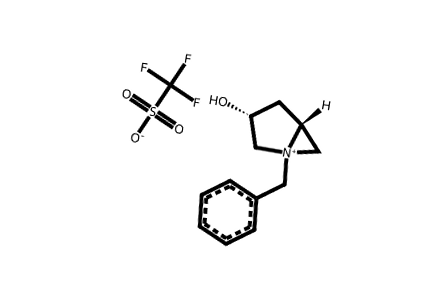 O=S(=O)([O-])C(F)(F)F.O[C@@H]1C[C@@H]2C[N+]2(Cc2ccccc2)C1